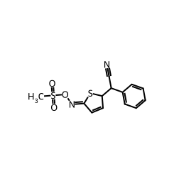 CS(=O)(=O)ON=C1C=CC(C(C#N)c2ccccc2)S1